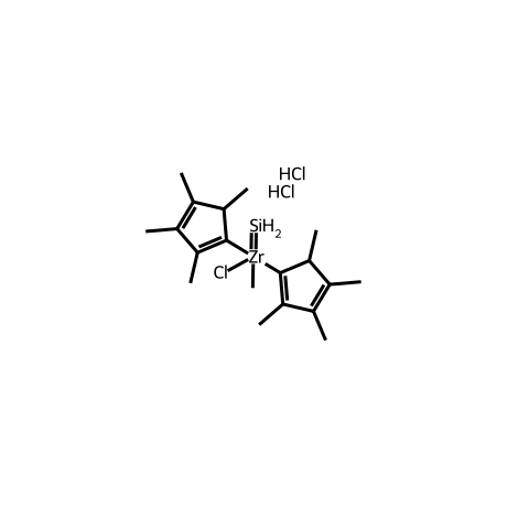 CC1=C(C)C(C)[C]([Zr]([CH3])(=[SiH2])([Cl])[C]2=C(C)C(C)=C(C)C2C)=C1C.Cl.Cl